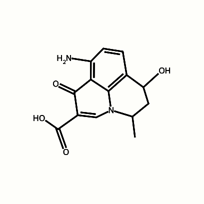 CC1CC(O)c2ccc(N)c3c(=O)c(C(=O)O)cn1c23